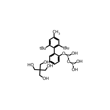 Cc1cc(C(C)(C)C)c(-c2ccccc2OP(O)OP(O)O)c(C(C)(C)C)c1.OCC(CO)(CO)CO